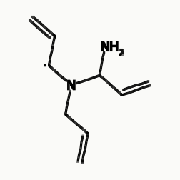 C=C[CH]N(CC=C)C(N)C=C